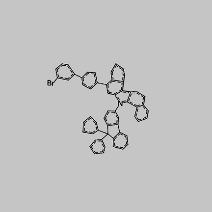 Brc1cccc(-c2ccc(-c3cc4c(c5ccccc35)c3ccc5ccccc5c3n4-c3ccc4c(c3)-c3ccccc3C4(c3ccccc3)c3ccccc3)cc2)c1